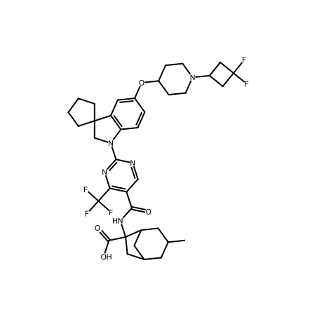 CC1CC2CC(C1)C(NC(=O)c1cnc(N3CC4(CCCC4)c4cc(OC5CCN(C6CC(F)(F)C6)CC5)ccc43)nc1C(F)(F)F)(C(=O)O)C2